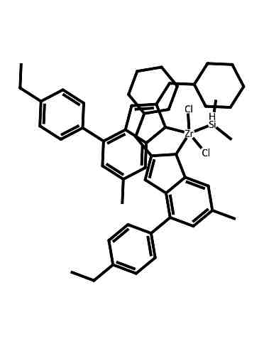 CCc1ccc(-c2cc(C)cc3c2C=C(CC2CCCCC2)[CH]3[Zr]([Cl])([Cl])([CH]2C(CC3CCCCC3)=Cc3c(-c4ccc(CC)cc4)cc(C)cc32)[SiH](C)C)cc1